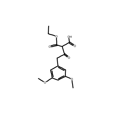 CCOC(=O)C(C(=O)O)C(=O)Cc1cc(OC)cc(OC)c1